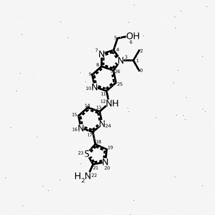 CC(C)n1c(CO)nc2cnc(Nc3ccnc(-c4cnc(N)s4)n3)cc21